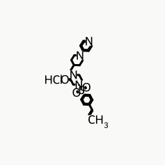 CC=Cc1ccc(S(=O)(=O)N2CCN(CC3CCN(c4ccncc4)CC3)C(=O)C2)cc1.Cl